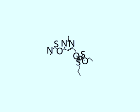 CCCS[P@@](=S)(OCC)OCc1cc(OC(=S)N(C)C)nc(C)n1